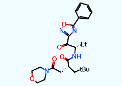 CC[C@H](NC(=O)[C@@H](CC(=O)N1CCOCC1)CC(C)(C)C)C(=O)c1noc(-c2ccccc2)n1